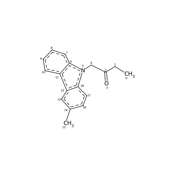 CCC(=O)Cn1c2ccccc2c2cc(C)ccc21